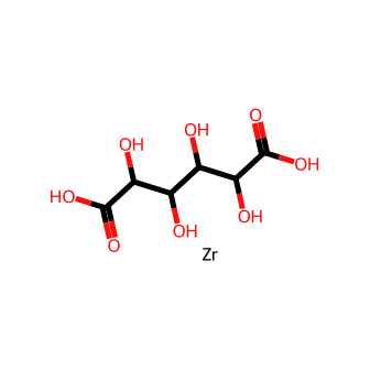 O=C(O)C(O)C(O)C(O)C(O)C(=O)O.[Zr]